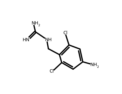 N=C(N)NCc1c(Cl)cc(N)cc1Cl